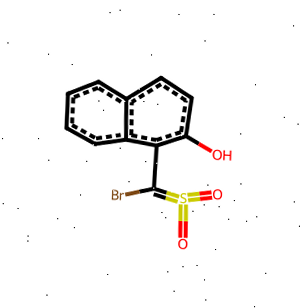 O=S(=O)=C(Br)c1c(O)ccc2ccccc12